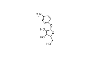 O=[N+]([O-])c1ccc(O[C@H]2OC(CO)C(O)C2O)cc1